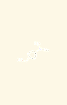 CC(C)(C)N(O)c1ccc(CO)cc1